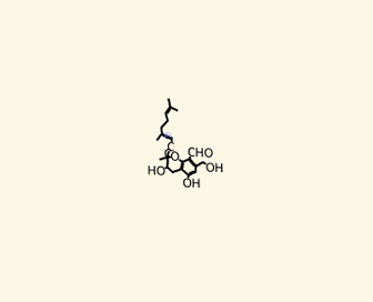 CC(C)=CCC/C(C)=C/CCC1(C)Oc2c(C=O)c(CO)cc(O)c2CC1O